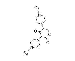 O=C(C(CCl)N1CCN(C2CC2)CC1)C(CCl)N1CCN(C2CC2)CC1